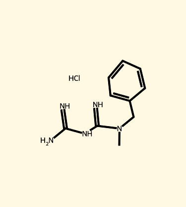 CN(Cc1ccccc1)C(=N)NC(=N)N.Cl